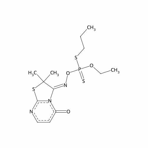 CCCSP(=S)(OCC)ON=C1n2c(nccc2=O)SC1(C)C